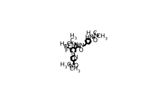 CC(C)n1nc(C(=O)NCc2ccc(NC(=O)N(C)C)cc2)c2c1[C@H](C(F)(F)F)CN(c1ccc(C(=O)N(C)C)cn1)C2